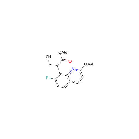 COC(=O)C(CC#N)c1c(F)ccc2ccc(OC)nc12